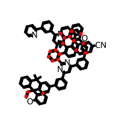 CC1(C)c2ccccc2C2(c3ccccc3Oc3ccccc32)c2ccc(-c3cccc(-c4cc(-c5cccc(-c6cc(C#N)cc(-c7cccc(-c8nc(-c9cccc(-c%10ccccn%10)c9)cc(-c9ccccc9-c9cccc%10c9C(C)(C)c9ccccc9C%109c%10ccccc%10Oc%10ccccc%109)n8)c7)c6)c5)nc(-c5ccccc5)n4)c3)cc21